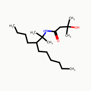 CCCCCCC(CCCC)C(C)(C)NC(=O)CC(C)(C)O